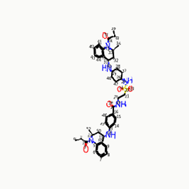 CCC(=O)N1c2ccccc2[C@H](Nc2ccc(C(=O)NCCS(=O)(=O)NC3CCC(N[C@@H]4C[C@H](C)N(C(=O)CC)c5ccccc54)CC3)cc2)C[C@@H]1C